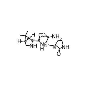 CC1(C)[C@@H]2[C@@H](C(=O)N[C@@H](C[C@H]3CCNC3=O)C(N)=O)NC[C@@H]21